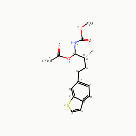 CCCCCC(=O)OC(NC(=O)OC(C)(C)C)[C@H](C)CCc1ccc2ccsc2c1